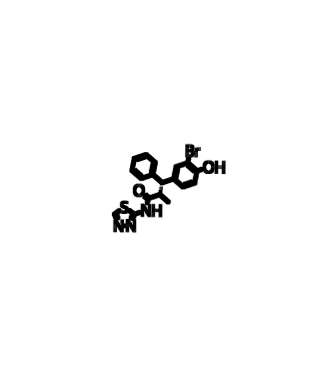 CC(C(=O)Nc1nncs1)[C@H](c1ccccc1)c1ccc(O)c(Br)c1